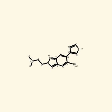 CN(C)CCn1cc2cc(N)c(-c3ccoc3)cc2n1